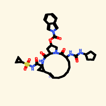 O=C(NC1CCCC1)NC1CCCCC/C=C/C2CC2(C(=O)NS(=O)(=O)C2CC2)NC(=O)C2CC(OC(=O)n3cc4ccccc4c3)CN2C1=O